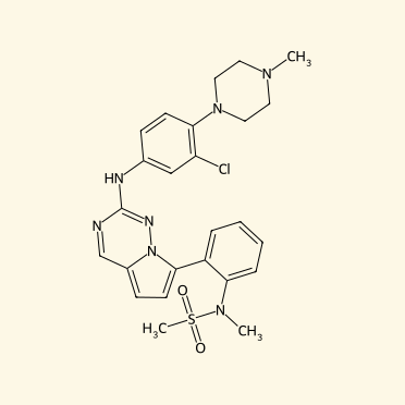 CN1CCN(c2ccc(Nc3ncc4ccc(-c5ccccc5N(C)S(C)(=O)=O)n4n3)cc2Cl)CC1